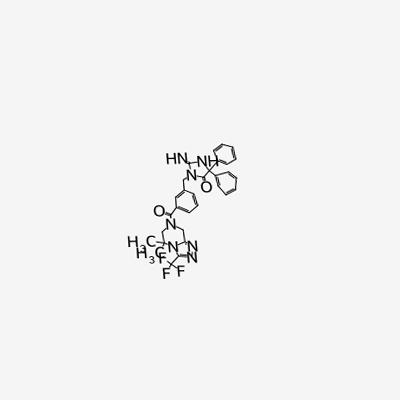 CC1(C)CN(C(=O)c2cccc(CN3C(=N)NC(c4ccccc4)(c4ccccc4)C3=O)c2)Cc2nnc(C(F)(F)F)n21